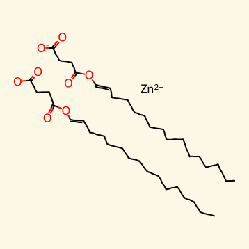 CCCCCCCCCCCCCCC=COC(=O)CCC(=O)[O-].CCCCCCCCCCCCCCC=COC(=O)CCC(=O)[O-].[Zn+2]